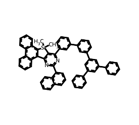 C[Si]1(C)c2c(-c3cccc(-c4cccc(-c5cc(-c6ccccc6)cc(-c6ccccc6)c5)c4)c3)nc(-c3cccc4ccccc34)nc2-c2c1c1ccccc1c1ccccc21